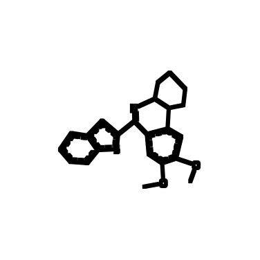 COc1cc2c(cc1OC)C1CCCCC1N=C2c1cc2ccccc2s1